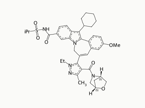 CCn1nc(C)c(C(=O)N2C[C@@H]3C[C@H]2CO3)c1C1=Cc2cc(OC)ccc2-c2c(C3CCCCC3)c3ccc(C(=O)NS(=O)(=O)C(C)C)cc3n2C1